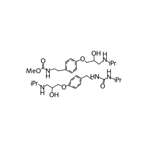 CC(C)NCC(O)COc1ccc(CCNC(=O)NC(C)C)cc1.COC(=O)NCCc1ccc(OCC(O)CNC(C)C)cc1